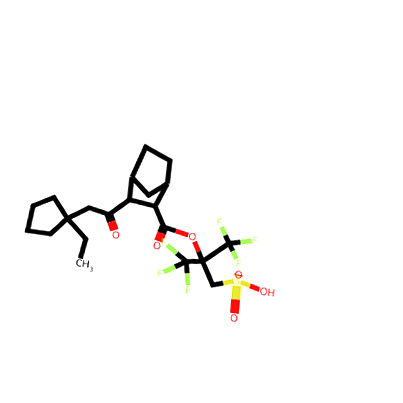 CCC1(CC(=O)C2C3CCC(C3)C2C(=O)OC(CS(=O)(=O)O)(C(F)(F)F)C(F)(F)F)CCCC1